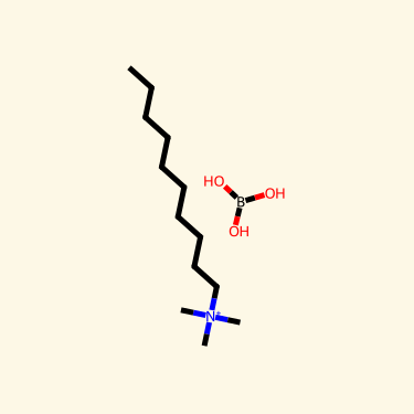 CCCCCCCCCC[N+](C)(C)C.OB(O)O